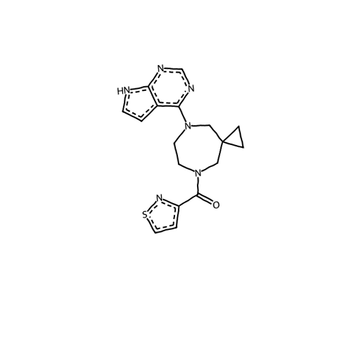 O=C(c1ccsn1)N1CCN(c2ncnc3[nH]ccc23)CC2(CC2)C1